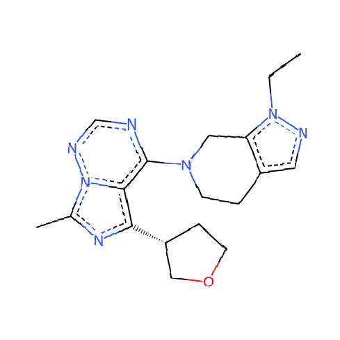 CCn1ncc2c1CN(c1ncnn3c(C)nc([C@@H]4CCOC4)c13)CC2